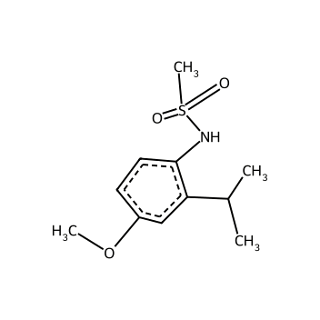 COc1ccc(NS(C)(=O)=O)c(C(C)C)c1